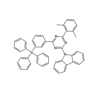 Cc1cccc(C)c1-c1nc(-c2cccc([Si](c3ccccc3)(c3ccccc3)c3ccccc3)c2)nc(-n2c3ccccc3c3ccccc32)n1